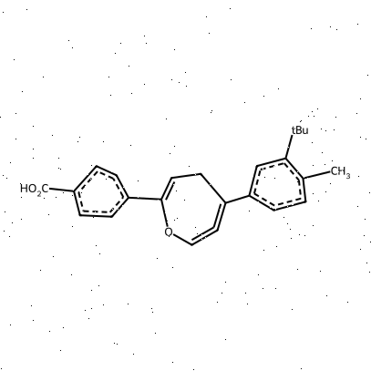 Cc1ccc(C2=C=COC(c3ccc(C(=O)O)cc3)=CC2)cc1C(C)(C)C